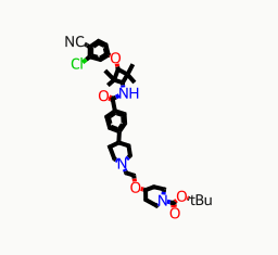 CC(C)(C)OC(=O)N1CCC(OCCN2CCC(c3ccc(C(=O)NC4C(C)(C)C(Oc5ccc(C#N)c(Cl)c5)C4(C)C)cc3)CC2)CC1